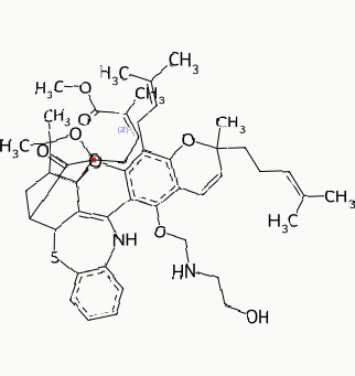 COC(=O)/C(C)=C\CC12OC(C)(C)C3CC(C1=O)C1Sc4ccccc4NC4=C1C32Oc1c(CC=C(C)C)c2c(c(OCNCCO)c14)C=CC(C)(CCC=C(C)C)O2